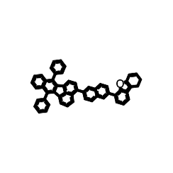 C1=Cc2oc3c(-c4ccc5cc(-c6ccc7c8c(cccc68)-c6c-7c(-c7ccccc7)c7ccccc7c6-c6ccccc6)ccc5c4)cccc3c2CC1